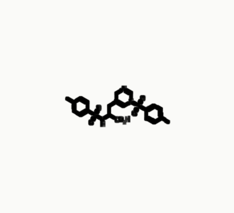 Cc1ccc(S(=O)(=O)NC(CC2=CN(S(=O)(=O)c3ccc(C)cc3)C=NC2)C(=O)O)cc1